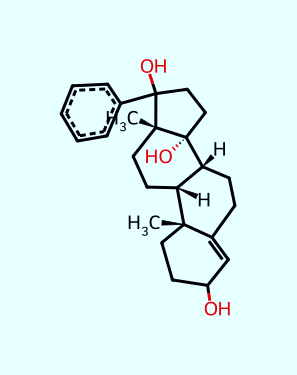 C[C@]12CCC(O)C=C1CC[C@@H]1[C@H]2CC[C@]2(C)C(O)(c3ccccc3)CC[C@@]12O